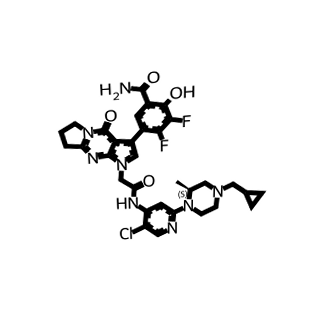 C[C@H]1CN(CC2CC2)CCN1c1cc(NC(=O)Cn2cc(-c3cc(C(N)=O)c(O)c(F)c3F)c3c(=O)n4c(nc32)CCC4)c(Cl)cn1